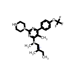 CC/C(C)=C/N(C)c1nc(N2CCNCC2)nc(-c2ccc(OC(F)(F)F)cc2)c1C